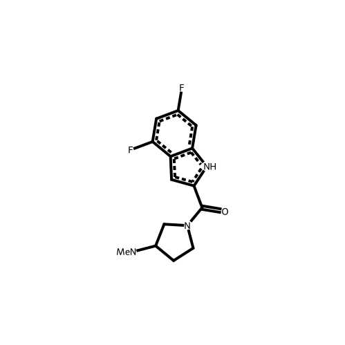 CNC1CCN(C(=O)c2cc3c(F)cc(F)cc3[nH]2)C1